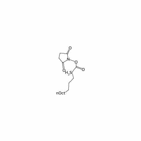 CCCCCCCCCCC[SiH2]C(=O)ON1C(=O)CCC1=O